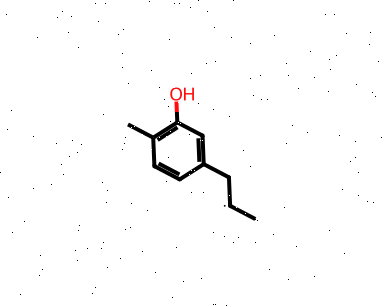 C[CH]Cc1ccc(C)c(O)c1